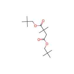 CC(C)(C)COC(=O)CC(C)(C)C(=O)OCC(C)(C)C